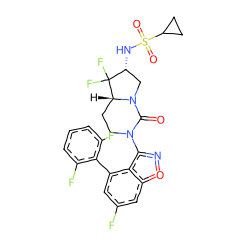 O=C1N(c2noc3cc(F)cc(-c4c(F)cccc4F)c23)CC[C@H]2N1C[C@@H](NS(=O)(=O)C1CC1)C2(F)F